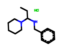 CCC(NCc1ccccc1)N1CCCCC1.Cl